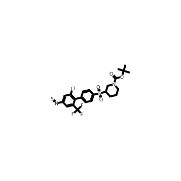 CC(C)(C)OC(=O)N1CCCC(S(=O)(=O)c2ccc(-c3c(Cl)cc(N=S)cc3C(F)(F)F)cc2)C1